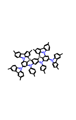 Cc1ccc(N2c3cc4c(cc3B3c5c2cc(-n2c6ccc(C)cc6c6cc(C)ccc62)cc5-n2c5ccc(C)cc5c5cc(C)cc3c52)B2c3c(cc(-n5c6ccc(C)cc6c6cc(C)ccc65)cc3-n3c5ccc(C)cc5c5cc(C)cc2c53)N4c2ccc(C)cc2)cc1